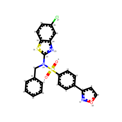 O=S(=O)(c1ccc(-c2ccon2)cc1)N(Cc1ccccc1)c1nc2cc(Cl)ccc2s1